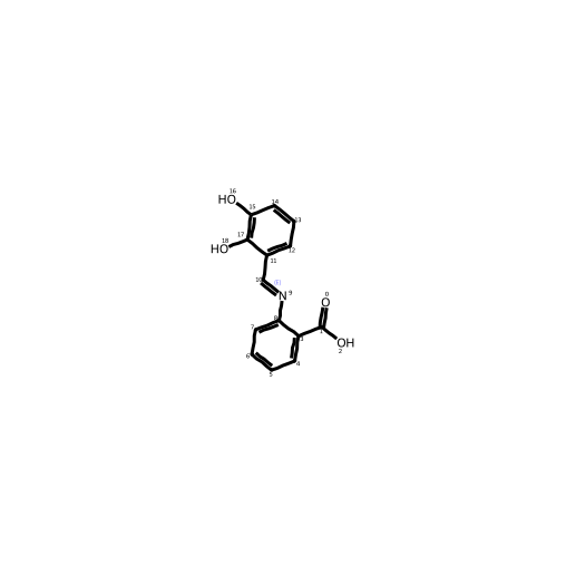 O=C(O)c1ccccc1/N=C/c1cccc(O)c1O